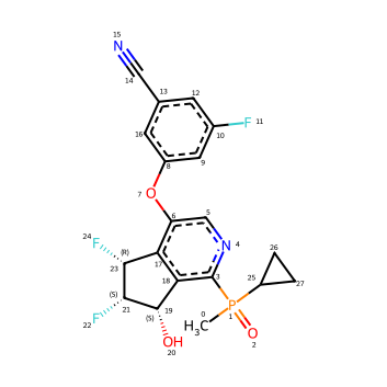 CP(=O)(c1ncc(Oc2cc(F)cc(C#N)c2)c2c1[C@H](O)[C@H](F)[C@@H]2F)C1CC1